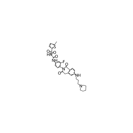 Cc1ccc(S(=O)(=O)NC(=O)Nc2ccc(N3C(=O)Cc4cc(NCCCN5CCCCC5)ccc4C3=O)c(F)c2)s1